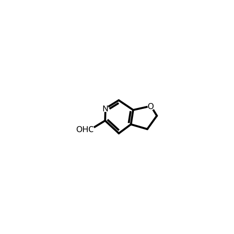 O=Cc1cc2c(cn1)OCC2